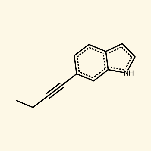 CCC#Cc1ccc2cc[nH]c2c1